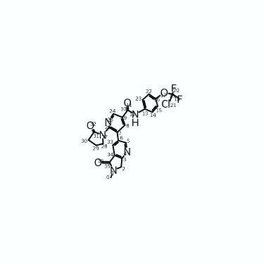 CN1Cc2ncc(-c3cc(C(=O)Nc4ccc(OC(F)(F)Cl)cc4)cnc3N3CCCC3=O)cc2C1=O